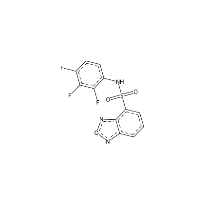 O=S(=O)(Nc1ccc(F)c(F)c1F)c1cccc2nonc12